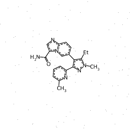 CCc1c(-c2ccc3ncc(C(N)=O)n3c2)c(-c2cccc(C)n2)nn1C